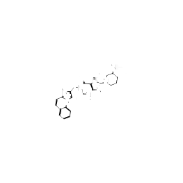 CCn1c(N2CCCC(N)C2)nc2c1c(=O)n(Cc1cn3c(ccc4ccccc43)n1)c(=O)n2C